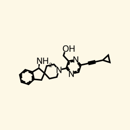 N[C@@H]1c2ccccc2CC12CCN(c1ncc(C#CC3CC3)nc1CO)CC2